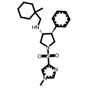 Cn1cnc(S(=O)(=O)N2C[C@H](NCC3(C)CCCCC3)[C@@H](c3ccccc3)C2)c1